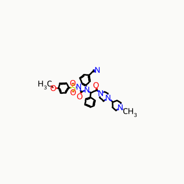 COc1ccc(S(=O)(=O)n2c(=O)n(C(C(=O)N3CCN(C4CCN(C)CC4)CC3)c3ccccc3)c3cc(C#N)ccc32)cc1